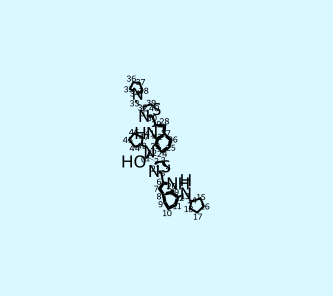 OC([C@@H]1CSC(c2cc3cccc(NC4CCCC4)c3[nH]2)=N1)N(c1cccc2cc(C3=N[C@H](CN4CCCC4)CS3)[nH]c12)C1CCCC1